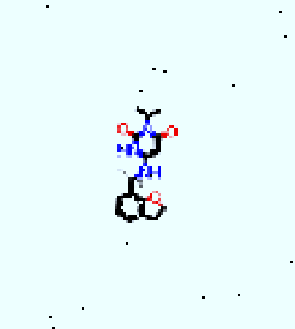 CC(C)n1c(=O)cc(N[C@@H](C)c2cccc3c2OCC3)[nH]c1=O